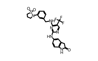 O=C1Cc2cc(Nc3ncc(C(F)(F)F)c(NCc4cccc(N5CCCS5(=O)=O)c4)n3)ccc2N1